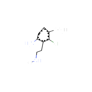 CCC(C)NCCc1c(N)ccc(C(=O)O)c1Cl